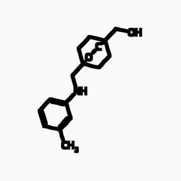 Cc1cccc(NCC23CCC(CO)(CC2)CO3)c1